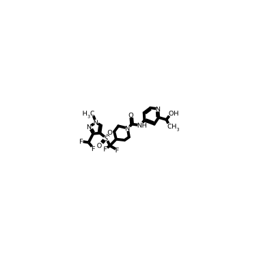 CC(O)c1cc(NC(=O)N2CCC(C(F)(F)S(=O)(=O)c3cn(C)nc3C(F)F)CC2)ccn1